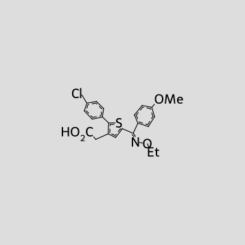 CCO/N=C(\c1ccc(OC)cc1)c1cc(CC(=O)O)c(-c2ccc(Cl)cc2)s1